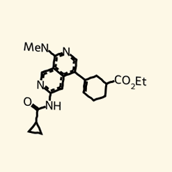 CCOC(=O)C1CCC=C(c2cnc(NC)c3cnc(NC(=O)C4CC4)cc23)C1